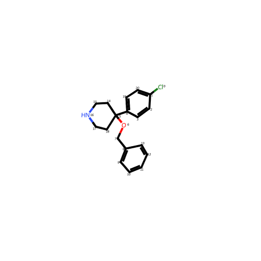 Clc1ccc(C2(OCc3ccccc3)CCNCC2)cc1